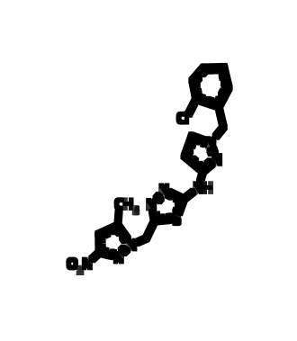 Cc1cc([N+](=O)[O-])nn1Cc1nnc(Nc2ccn(Cc3ccccc3Cl)n2)s1